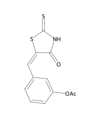 CC(=O)Oc1cccc(C=C2SC(=S)NC2=O)c1